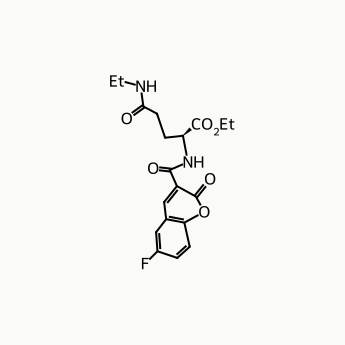 CCNC(=O)CC[C@H](NC(=O)c1cc2cc(F)ccc2oc1=O)C(=O)OCC